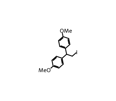 COc1ccc(C(CI)c2ccc(OC)cc2)cc1